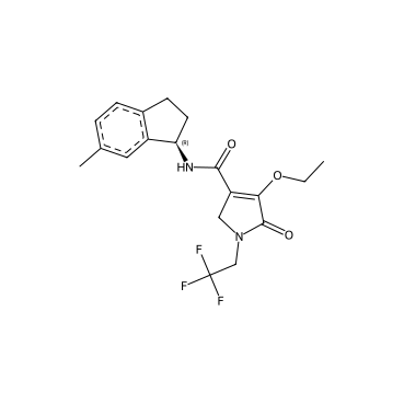 CCOC1=C(C(=O)N[C@@H]2CCc3ccc(C)cc32)CN(CC(F)(F)F)C1=O